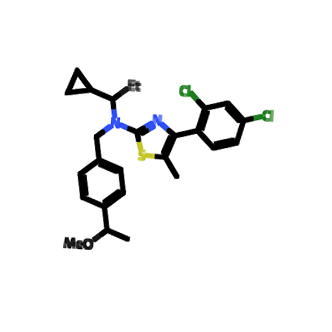 CCC(C1CC1)N(Cc1ccc(C(C)OC)cc1)c1nc(-c2ccc(Cl)cc2Cl)c(C)s1